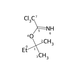 CCC(C)(C)OC(=N)C(Cl)(Cl)Cl